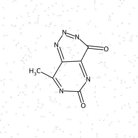 CC1=NC(=O)N=C2C(=O)N=NN=C12